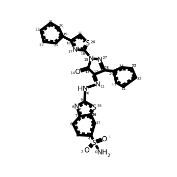 NS(=O)(=O)c1ccc2nc(N/N=C3\C(=O)N(c4nc(-c5ccccc5)cs4)N=C3c3ccccc3)sc2c1